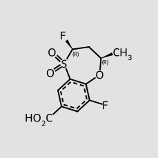 C[C@@H]1C[C@H](F)S(=O)(=O)c2cc(C(=O)O)cc(F)c2O1